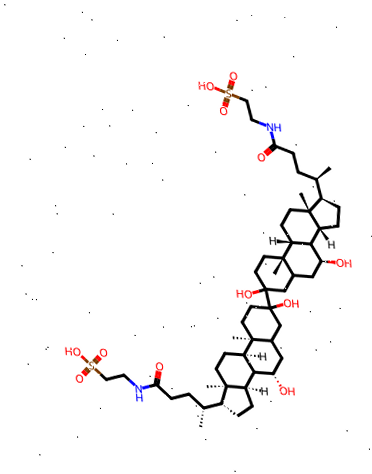 C[C@H](CCC(=O)NCCS(=O)(=O)O)[C@H]1CC[C@@H]2C3[C@@H](CC[C@@]21C)[C@@]1(C)CCC(O)(C2(O)CC[C@@]4(C)C(C[C@H](O)C5[C@H]6CC[C@H]([C@H](C)CCC(=O)NCCS(=O)(=O)O)[C@@]6(C)CC[C@H]54)C2)CC1C[C@@H]3O